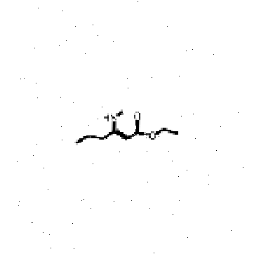 CCCC(=CC(=O)OCC)NC